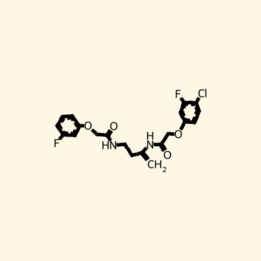 C=C(CCNC(=O)COc1cccc(F)c1)NC(=O)COc1ccc(Cl)c(F)c1